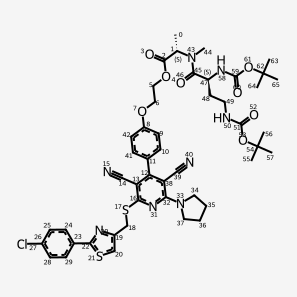 C[C@@H](C(=O)OCCOc1ccc(-c2c(C#N)c(SCc3csc(-c4ccc(Cl)cc4)n3)nc(N3CCCC3)c2C#N)cc1)N(C)C(=O)[C@H](CCNC(=O)OC(C)(C)C)NC(=O)OC(C)(C)C